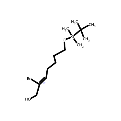 CC(C)(C)[Si](C)(C)OCCCC/C=C(\Br)CO